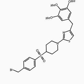 COc1cc(Cc2csc(N3CCC(S(=O)(=O)c4ccc(CBr)cc4)CC3)n2)cc(OC)c1OC